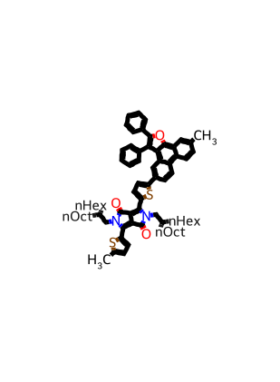 CCCCCCCCC(CCCCCC)CN1C(=O)C2=C(c3ccc(-c4ccc5c6ccc(C)cc6c6oc(-c7ccccc7)c(-c7ccccc7)c6c5c4)s3)N(CC(CCCCCC)CCCCCCCC)C(=O)C2=C1c1ccc(C)s1